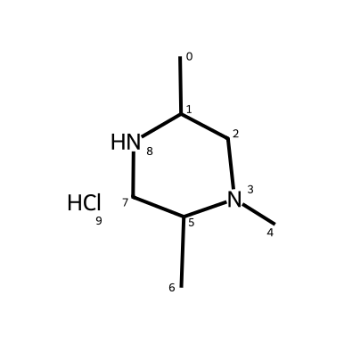 CC1CN(C)C(C)CN1.Cl